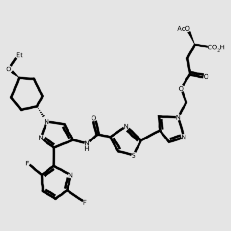 CCO[C@H]1CC[C@H](n2cc(NC(=O)c3csc(-c4cnn(COC(=O)C[C@@H](OC(C)=O)C(=O)O)c4)n3)c(-c3nc(F)ccc3F)n2)CC1